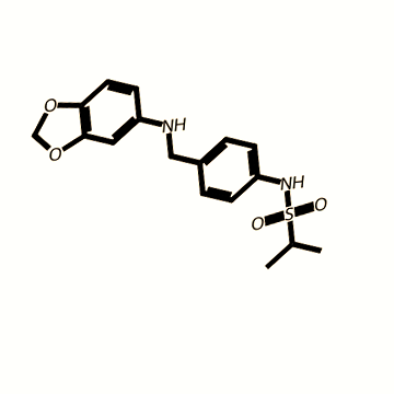 CC(C)S(=O)(=O)Nc1ccc(CNc2ccc3c(c2)OCO3)cc1